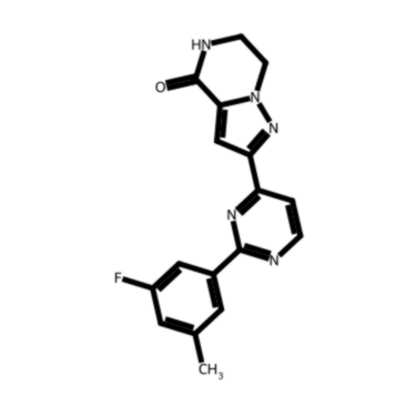 Cc1cc(F)cc(-c2nccc(-c3cc4n(n3)CCNC4=O)n2)c1